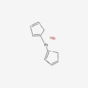 Br.C1=CC[C]([Pt][C]2=CC=CC2)=C1